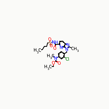 CCCCCS(=O)(=O)NC(=O)c1ccc2nc(C)n(Cc3ccc(N(C)C(=O)OCC)cc3Cl)c2n1